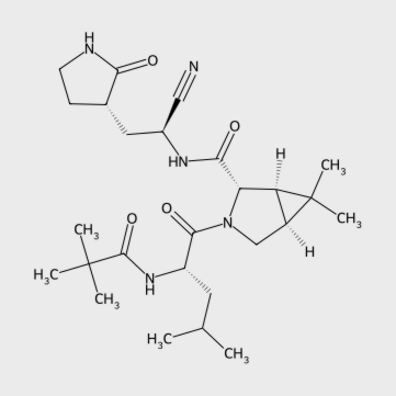 CC(C)C[C@H](NC(=O)C(C)(C)C)C(=O)N1C[C@H]2[C@@H]([C@H]1C(=O)N[C@H](C#N)C[C@@H]1CCNC1=O)C2(C)C